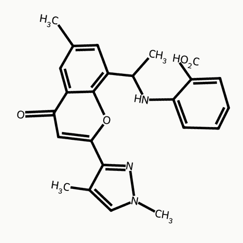 Cc1cc(C(C)Nc2ccccc2C(=O)O)c2oc(-c3nn(C)cc3C)cc(=O)c2c1